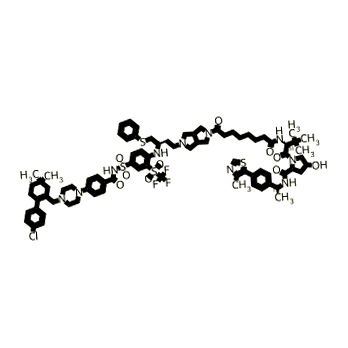 Cc1ncsc1-c1ccc([C@H](C)NC(=O)C2CC(O)CN2C(=O)[C@@H](NC(=O)CCCCCCC(=O)N2CC3CN(CC[C@H](CSc4ccccc4)Nc4ccc(S(=O)(=O)NC(=O)c5ccc(N6CCN(CC7=C(c8ccc(Cl)cc8)CCC(C)(C)C7)CC6)cc5)cc4S(=O)(=O)C(F)(F)F)CC3C2)C(C)(C)C)cc1